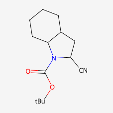 CC(C)(C)OC(=O)N1C(C#N)CC2CCCCC21